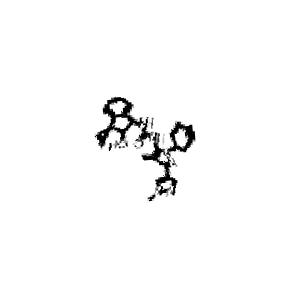 Cc1c(-c2cnn(C)c2)nn(-c2ccccc2)c1NC(=O)NC1c2ccccc2C2(CC2)C1O